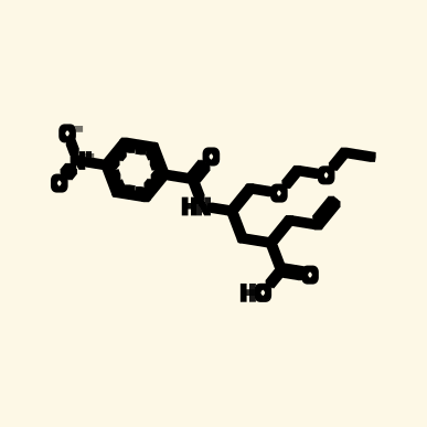 C=CCC(CC(COCOCC)NC(=O)c1ccc([N+](=O)[O-])cc1)C(=O)O